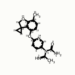 CC(=N)N(C(N)=O)c1ccc(Oc2ccc(C)c3c2C2(CC2)CO3)nc1